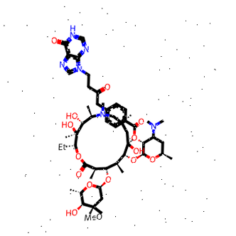 CC[C@H]1OC(=O)[C@H](C)[C@@H](O[C@H]2C[C@@](C)(OC)[C@@H](O)[C@H](C)O2)[C@H](C)[C@@H](O[C@@H]2O[C@H](C)CC(N(C)C)[C@H]2OC(=O)c2ccc(CC(=O)CCn3cnc4c(=O)[nH]cnc43)cc2)[C@](C)(O)C[C@@H](C)CN(C)[C@H](C)[C@@H](O)[C@]1(C)O